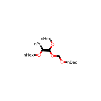 CCCCCCCCCCOCOC(OCCCCCC)=C(CCC)OCCCCCC